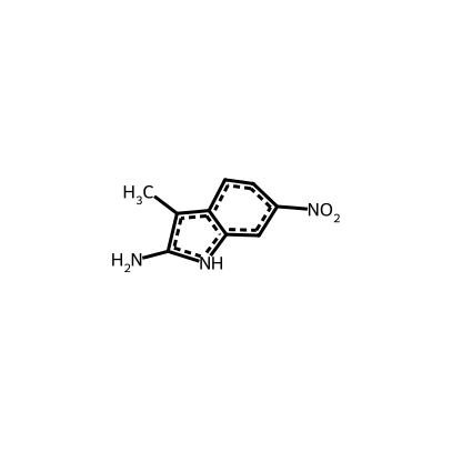 Cc1c(N)[nH]c2cc([N+](=O)[O-])ccc12